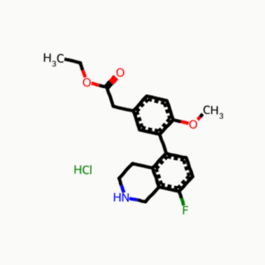 CCOC(=O)Cc1ccc(OC)c(-c2ccc(F)c3c2CCNC3)c1.Cl